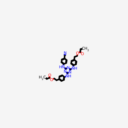 C=CC(=O)OCCc1ccc(Nc2nc(Nc3ccc(C#N)cc3)nc(Nc3ccc(CCOC(=O)C=C)cc3)n2)cc1